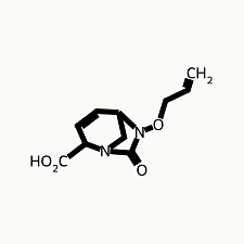 C=CCON1C(=O)N2CC1C=CC2C(=O)O